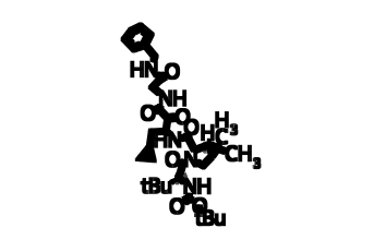 CC(C)(C)OC(=O)N[C@H](C(=O)N1CC2[C@@H](C1C(=O)NC(CC1CC1)C(=O)C(=O)NCC(=O)NCc1ccccc1)C2(C)C)C(C)(C)C